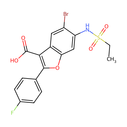 CCS(=O)(=O)Nc1cc2oc(-c3ccc(F)cc3)c(C(=O)O)c2cc1Br